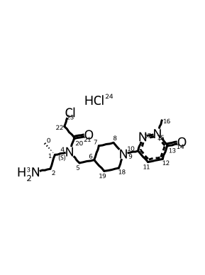 C[C@@H](CN)N(CC1CCN(c2ccc(=O)n(C)n2)CC1)C(=O)CCl.Cl